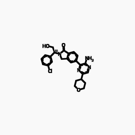 Nc1ncc(C2CCOCC2)nc1-c1ccc2c(c1)CN([C@H](CO)c1cccc(Cl)c1)C2=O